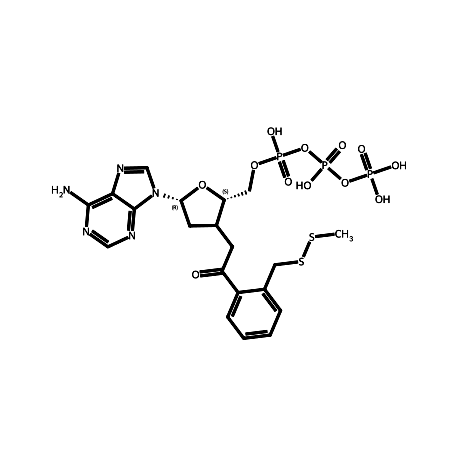 CSSCc1ccccc1C(=O)CC1C[C@H](n2cnc3c(N)ncnc32)O[C@@H]1COP(=O)(O)OP(=O)(O)OP(=O)(O)O